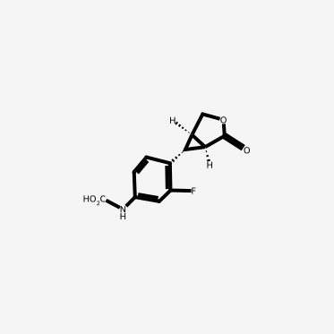 O=C(O)Nc1ccc([C@@H]2[C@H]3COC(=O)[C@H]32)c(F)c1